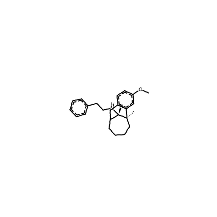 COc1ccc2c(c1)[C@@]1(C)CCCCC(C2)[C@@H]1NCCc1ccccc1